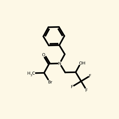 CC(Br)C(=O)N(Cc1ccccc1)CC(O)C(F)(F)F